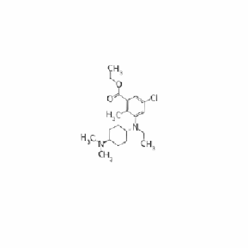 CCOC(=O)c1cc(Cl)cc(N(CC)[C@H]2CC[C@H](N(C)C)CC2)c1C